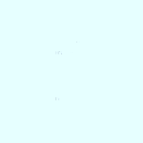 CCC1C(=O)Nc2ccc(Br)cc21